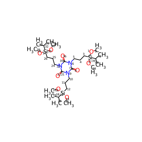 CO[Si](CCCn1c(=O)n(CCC[Si](OC)(OC)C(C)C)c(=O)n(CCC[Si](OC)(OC)C(C)C)c1=O)(OC)C(C)C